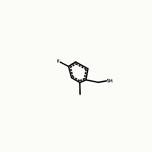 Cc1cc(F)ccc1CS